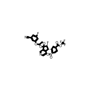 N#Cc1cc(F)cc(OC2COC3(O2)c2cnccc2[C@@H](c2cc(C(=O)OC(F)(F)F)ccc2[N+](=O)[O-])[C@H]3F)c1